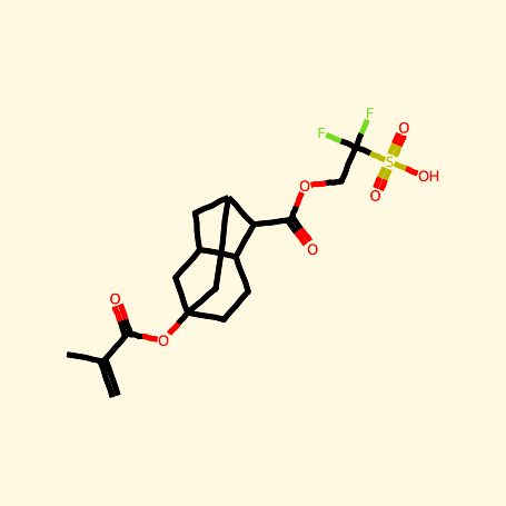 C=C(C)C(=O)OC12CCC3C(CC(C1)C3C(=O)OCC(F)(F)S(=O)(=O)O)C2